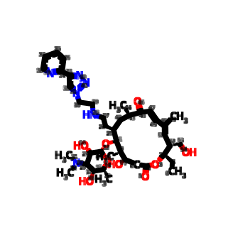 CC[C@H]1OC(=O)C[C@@H](O)[C@H](C)[C@@H](O[C@@H]2O[C@H](C)[C@@H](O)C(N(C)C)C2O)[C@@H](CCNCCn2cc(-c3ccccn3)nn2)C[C@@H](C)C(=O)/C=C/C(C)=C/[C@@H]1CO